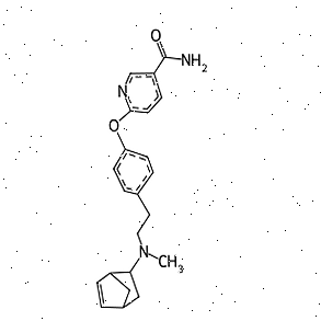 CN(CCc1ccc(Oc2ccc(C(N)=O)cn2)cc1)C1CC2C=CC1C2